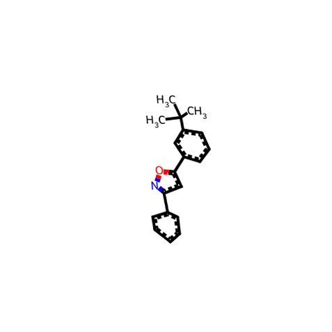 CC(C)(C)c1cccc(-c2cc(-c3ccccc3)no2)c1